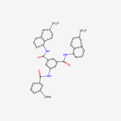 COc1cccc(C(=O)Nc2cc(C(=O)Nc3cccc4cc(S(=O)(=O)O)ccc34)cc(C(=O)Nc3cccc4cc(S(=O)(=O)O)ccc34)c2)c1